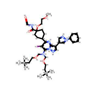 COCCOC1(C(=O)NC=O)CCC(c2nc3c(-c4cnn(-c5ccccc5)c4)cnn3c(N(COCC[Si](C)(C)C)COCC[Si](C)(C)C)c2I)CC1